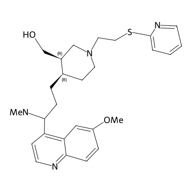 CNC(CC[C@@H]1CCN(CCSc2ccccn2)C[C@@H]1CO)c1ccnc2ccc(OC)cc12